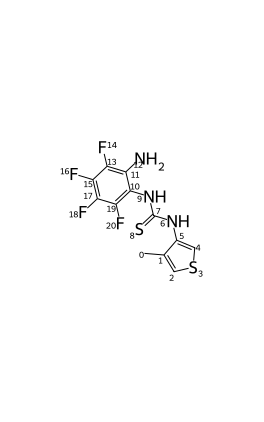 Cc1cscc1NC(=S)Nc1c(N)c(F)c(F)c(F)c1F